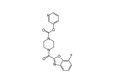 O=C(Oc1cccnc1)N1CCN(C(=O)c2nc3cccc(F)c3o2)CC1